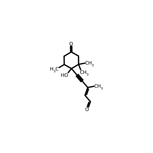 C/C(C#CC1(O)C(C)CC(=O)CC1(C)C)=C\C=O